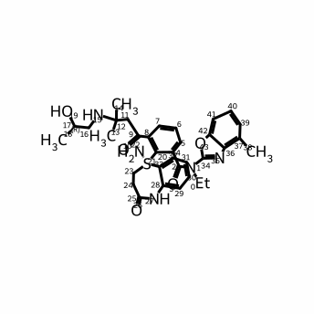 CCN(C(=O)c1cccc(C(=O)CC(C)(C)NC[C@@H](C)O)c1S1(N)CCC(=O)Nc2ccccc21)c1nc2c(C)cccc2o1